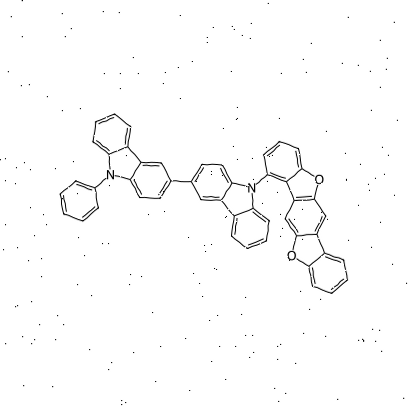 c1ccc(-n2c3ccccc3c3cc(-c4ccc5c(c4)c4ccccc4n5-c4cccc5oc6cc7c(cc6c45)oc4ccccc47)ccc32)cc1